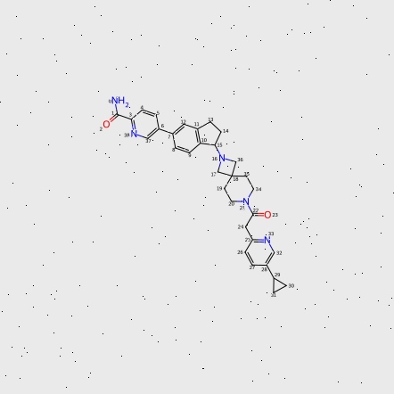 NC(=O)c1ccc(-c2ccc3c(c2)CCC3N2CC3(CCN(C(=O)Cc4ccc(C5CC5)cn4)CC3)C2)cn1